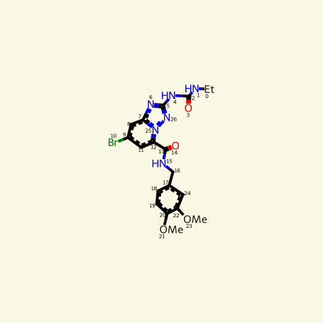 CCNC(=O)Nc1nc2cc(Br)cc(C(=O)NCc3ccc(OC)c(OC)c3)n2n1